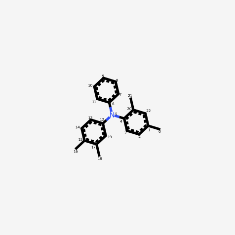 Cc1ccc(N(c2ccccc2)c2ccc(C)c(C)c2)c(C)c1